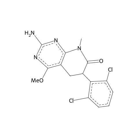 COc1nc(N)nc2c1CC(c1c(Cl)cccc1Cl)C(=O)N2C